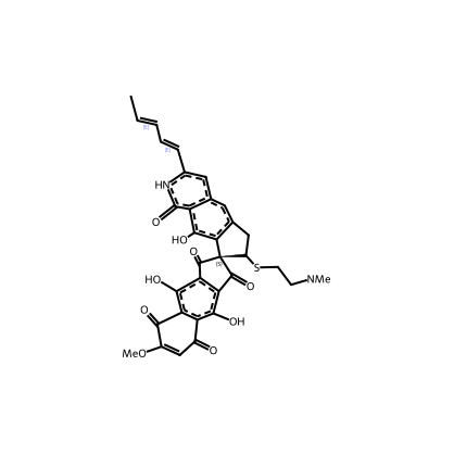 C/C=C/C=C/c1cc2cc3c(c(O)c2c(=O)[nH]1)[C@@]1(C(=O)c2c(O)c4c(c(O)c2C1=O)C(=O)C(OC)=CC4=O)C(SCCNC)C3